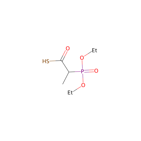 CCOP(=O)(OCC)C(C)C(=O)S